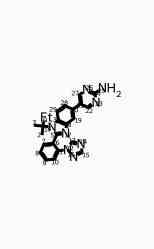 CCC(C)(C)n1c(-c2ccccc2-n2cncn2)nc2cc(-c3cnc(N)nc3)ccc21